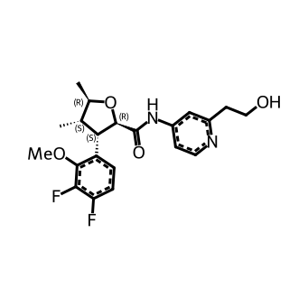 COc1c([C@@H]2[C@H](C)[C@@H](C)O[C@H]2C(=O)Nc2ccnc(CCO)c2)ccc(F)c1F